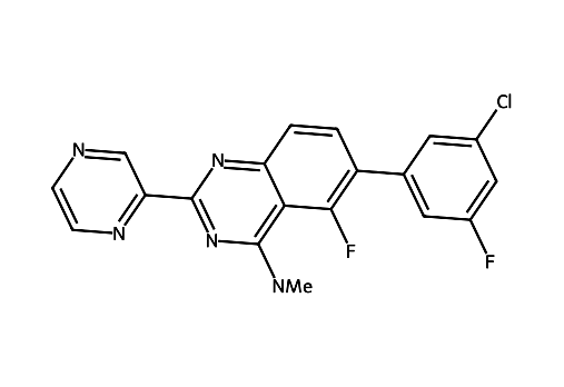 CNc1nc(-c2cnccn2)nc2ccc(-c3cc(F)cc(Cl)c3)c(F)c12